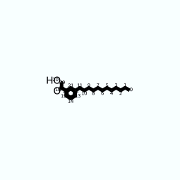 CCCCCCCCCCCCc1cccc(C(=O)CO)c1